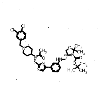 CC(=O)N(Sc1nc(-c2cccc(NC[C@@H]3COC(C)(C)N3C(=O)OC(C)(C)C)c2)cs1)C1CCN(Cc2ccc(Cl)c(Cl)c2)CC1